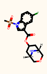 CS(=O)(=O)n1cc(C(=O)OC2C[C@H]3COC[C@@H](C2)N3)c2cc(F)ccc21